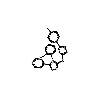 Cc1ccc(-c2nnc(Sc3nnc(-c4ccncc4)n3-c3ccccc3Cl)s2)cc1